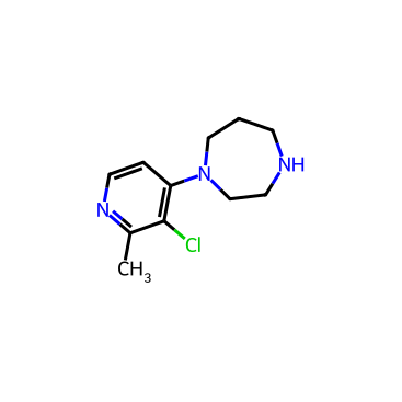 Cc1nccc(N2CCCNCC2)c1Cl